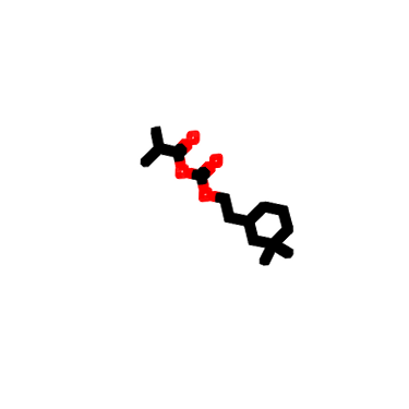 CC(C)C(=O)OC(=O)OCCC1CCCC(C)(C)C1